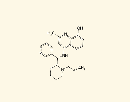 C=CCN1CCCCC1[C@@H](Nc1cc(C)nc2c(O)cccc12)c1ccccc1